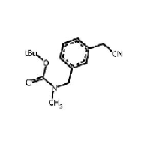 CN(Cc1cccc(CC#N)c1)C(=O)OC(C)(C)C